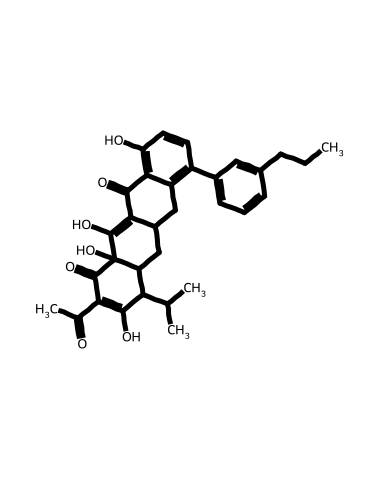 CCCc1cccc(-c2ccc(O)c3c2CC2CC4C(C(C)C)C(O)=C(C(C)=O)C(=O)C4(O)C(O)=C2C3=O)c1